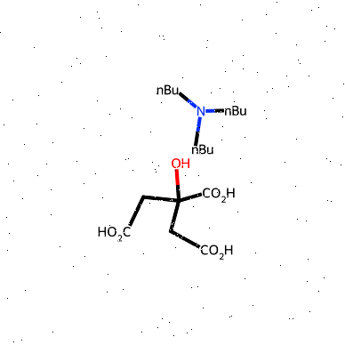 CCCCN(CCCC)CCCC.O=C(O)CC(O)(CC(=O)O)C(=O)O